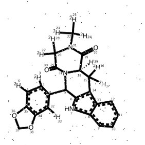 [2H]c1c([2H])c(C2c3[nH]c4ccccc4c3C([2H])([2H])[C@@H]3C(=O)N(C([2H])([2H])[2H])C([2H])([2H])C(=O)N23)c([2H])c2c1OCO2